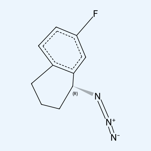 [N-]=[N+]=N[C@@H]1CCCc2ccc(F)cc21